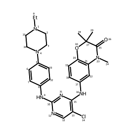 CCN1CCN(c2ccc(Nc3ncc(Cl)c(Nc4ccc5c(c4)N(C)C(=O)C(C)(C)O5)n3)cc2)CC1